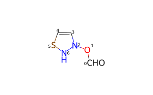 O=CON1C=CSN1